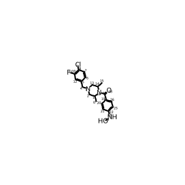 CC1CN(Cc2ccc(Cl)c(F)c2)CC(C)N1C(=O)c1ccc(NO)cc1